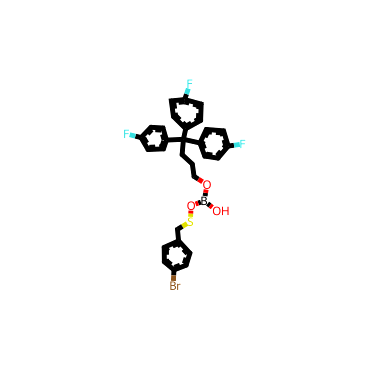 OB(OCCCC(c1ccc(F)cc1)(c1ccc(F)cc1)c1ccc(F)cc1)OSCc1ccc(Br)cc1